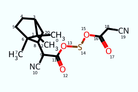 CC1(C)C2CCC1(C)C(C(C#N)C(=O)OSOC(=O)CC#N)C2